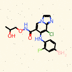 Bc1ccc(Nc2c(C(=O)NOCC(C)O)cn3ccnc3c2Cl)c(F)c1